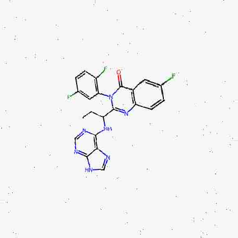 CCC(Nc1ncnc2[nH]cnc12)c1nc2ccc(F)cc2c(=O)n1-c1cc(F)ccc1F